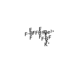 F[B-](F)(F)F.F[B-](F)(F)F.F[B-](F)(F)F.[Be+2].[K+]